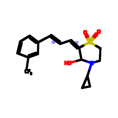 O=S1(=O)CCN(C2CC2)C(O)/C1=C\C=C\c1cccc(C(F)(F)F)c1